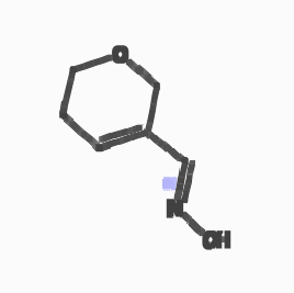 O/N=C/C1=CCCOC1